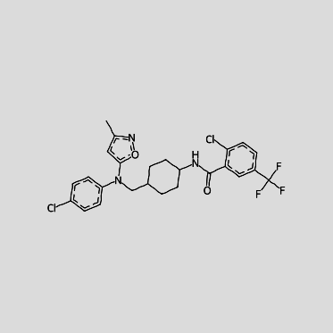 Cc1cc(N(CC2CCC(NC(=O)c3cc(C(F)(F)F)ccc3Cl)CC2)c2ccc(Cl)cc2)on1